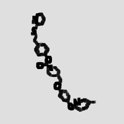 Cc1ccc(Oc2ccc(OCC3CCN(C(=O)Oc4ccc(CCSc5ccccn5)cc4)CC3)cc2)nc1